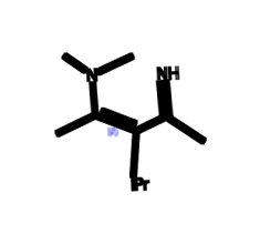 CC(=N)/C(=C(/C)N(C)C)C(C)C